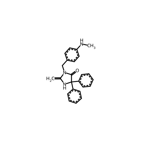 C=C1NC(c2ccccc2)(c2ccccc2)C(=O)N1Cc1ccc(NC)cc1